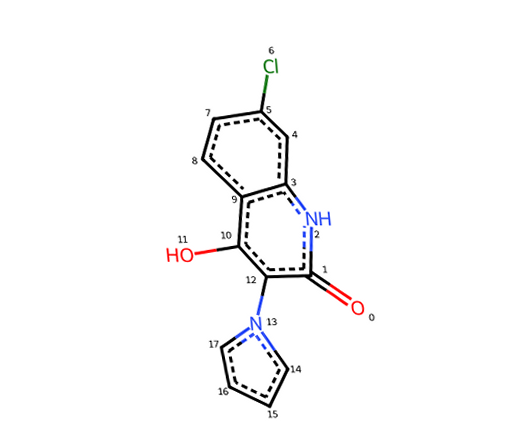 O=c1[nH]c2cc(Cl)ccc2c(O)c1-n1cccc1